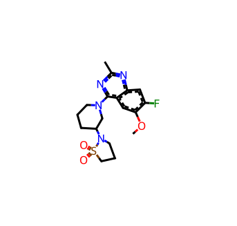 COc1cc2c(N3CCCC(N4CCCS4(=O)=O)C3)nc(C)nc2cc1F